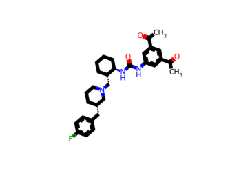 CC(=O)c1cc(NC(=O)N[C@@H]2CCCC[C@H]2CN2CCC[C@@H](Cc3ccc(F)cc3)C2)cc(C(C)=O)c1